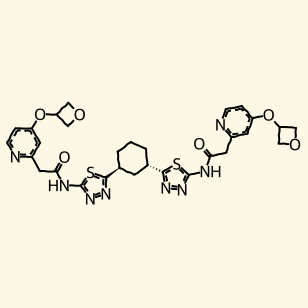 O=C(Cc1cc(OC2COC2)ccn1)Nc1nnc([C@H]2CCC[C@H](c3nnc(NC(=O)Cc4cc(OC5COC5)ccn4)s3)C2)s1